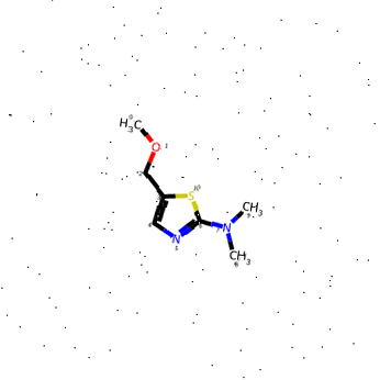 COCc1cnc(N(C)C)s1